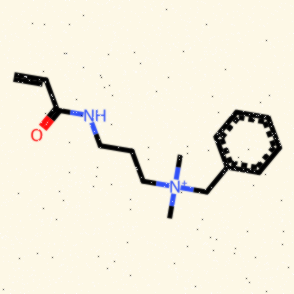 C=CC(=O)NCCC[N+](C)(C)Cc1ccccc1